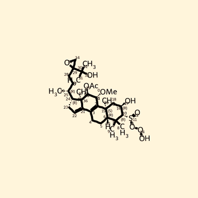 CO[C@@H]1C2=C(CC[C@H]3C(C)(C)[C@@H](S(=O)OOO)[C@H](O)C[C@]23C)C2=CC[C@H]([C@H](C)CCC3(C(C)(C)O)CO3)[C@@]2(C)[C@H]1OC(C)=O